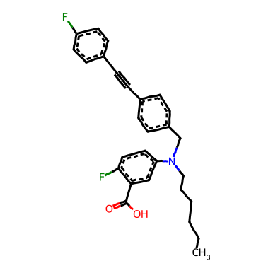 CCCCCCN(Cc1ccc(C#Cc2ccc(F)cc2)cc1)c1ccc(F)c(C(=O)O)c1